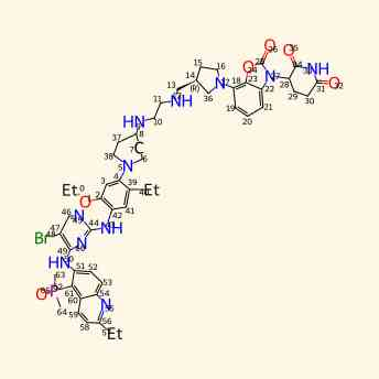 CCOc1cc(N2CCC(NCCNC[C@H]3CCN(c4cccc5c4oc(=O)n5C4CCC(=O)NC4=O)C3)CC2)c(CC)cc1Nc1ncc(Br)c(Nc2ccc3nc(CC)ccc3c2P(C)(C)=O)n1